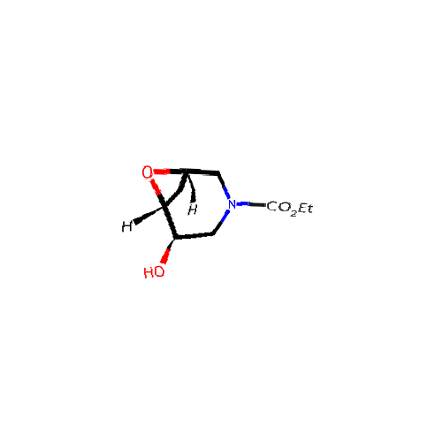 CCOC(=O)N1C[C@@H](O)[C@@H]2O[C@@H]2C1